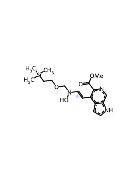 COC(=O)c1ncc2[nH]ccc2c1/C=C/N(O)COCC[Si](C)(C)C